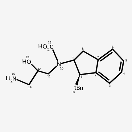 CC(C)(C)[C@@H]1c2ccccc2CC1N(CC(O)CN)C(=O)O